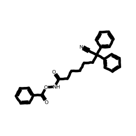 N#CC(CCCCCC(=O)NOC(=O)c1ccccc1)(c1ccccc1)c1ccccc1